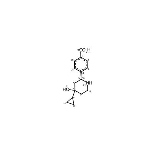 O=C(O)c1ccc([C@@H]2CC(O)(C3CC3)CCN2)cc1